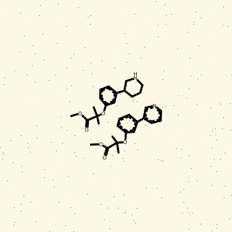 COC(=O)C(C)(C)Oc1cccc(-c2cccnc2)c1.COC(=O)C(C)(C)Oc1cccc(C2CCCNC2)c1